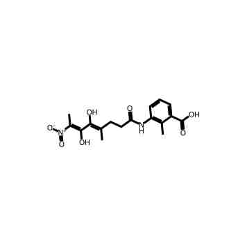 C/C(CCC(=O)Nc1cccc(C(=O)O)c1C)=C(O)\C(O)=C(/C)[N+](=O)[O-]